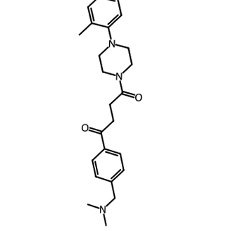 Cc1ccccc1N1CCN(C(=O)CCC(=O)c2ccc(CN(C)C)cc2)CC1